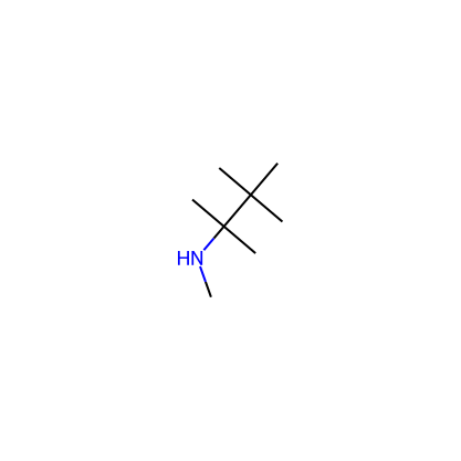 CNC(C)(C)C(C)(C)C